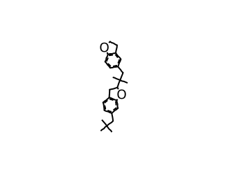 CC(C)(C)Cc1ccc2c(c1)OC(C(C)(C)Cc1ccc3c(c1)CCO3)C2